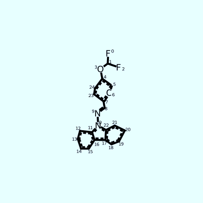 FC(F)Oc1ccc(C=Nn2c3ccccc3c3ccccc32)cc1